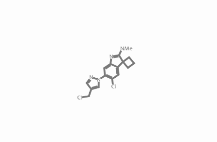 CNC1=Nc2cc(-n3cc(CCl)cn3)c(Cl)cc2C12CCC2